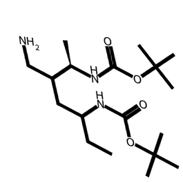 CCC(CC(CN)[C@@H](C)NC(=O)OC(C)(C)C)NC(=O)OC(C)(C)C